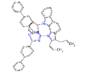 C=CCc1c(/C=C\C)n(-c2nc(-c3ccc(-c4ccccc4)cc3)nc(-c3ccc(-c4ccccc4)cc3)n2)c2c1ccc1c3ccccc3n(-c3ccccc3)c12